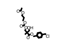 CC(=O)OCCCOC(=O)OCC(C)(CO)C(=O)OCc1ccc(CCl)cc1